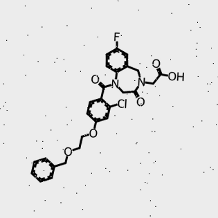 O=C(O)CN1Cc2cc(F)ccc2N(C(=O)c2ccc(OCCOCc3ccccc3)cc2Cl)CC1=O